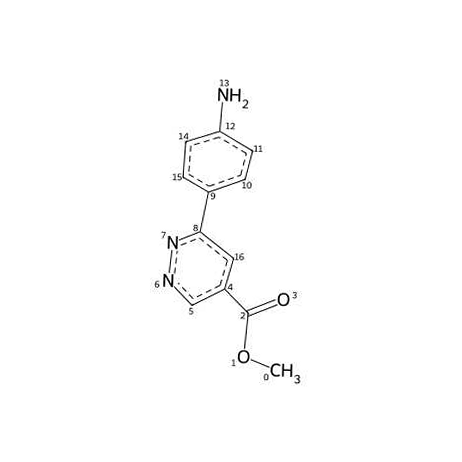 COC(=O)c1cnnc(-c2ccc(N)cc2)c1